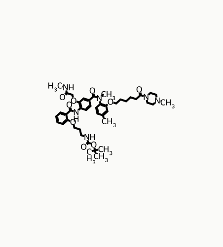 CNC(=O)COc1cc(C(=O)N(C)c2ccc(C)cc2OCCCCCC(=O)N2CCN(C)CC2)ccc1NC(=O)c1ccccc1OCCCNC(=O)OC(C)(C)C